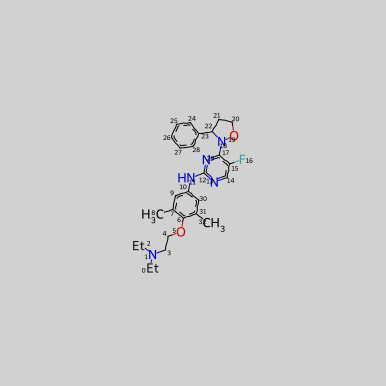 CCN(CC)CCOc1c(C)cc(Nc2ncc(F)c(N3OCCC3c3ccccc3)n2)cc1C